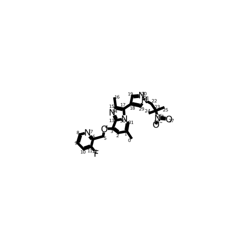 Cc1cc(OCc2ncccc2F)c2nc(C)c(-c3cnn(CC(C)(C)[N+](=O)[O-])c3)n2c1